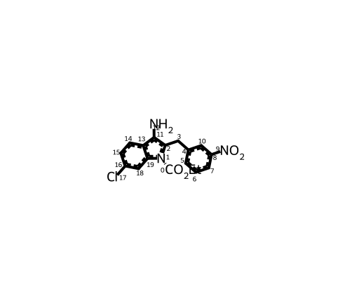 CCOC(=O)n1c(Cc2cccc([N+](=O)[O-])c2)c(N)c2ccc(Cl)cc21